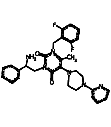 Cc1c(N2CCN(c3ccccn3)CC2)c(=O)n(CC(N)c2ccccc2)c(=O)n1Cc1c(F)cccc1F